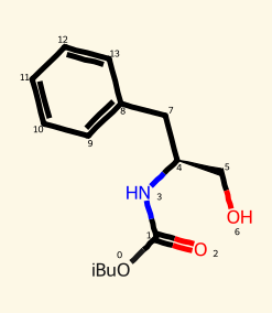 CC(C)COC(=O)N[C@H](CO)Cc1ccccc1